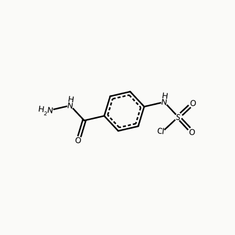 NNC(=O)c1ccc(NS(=O)(=O)Cl)cc1